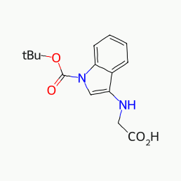 CC(C)(C)OC(=O)n1cc(NCC(=O)O)c2ccccc21